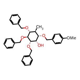 COc1ccc(CO[C@H]2[C@H](C)[C@@H](OCc3ccccc3)[C@H](OCc3ccccc3)[C@@H](OCc3ccccc3)[C@H]2O)cc1